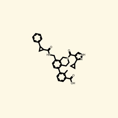 Cc1c(C(=O)O)cccc1-c1ccc(CNC(=O)C2CC2c2ccccc2)c2c1CCN(C(=O)c1c[nH]nc1C1CC1)C2